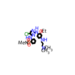 CCOc1cc(NCCCN(C)C)ccc1Nc1ncc(Cl)c(Nc2ccccc2S(=O)(=O)NC)n1